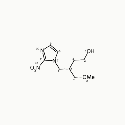 COCC(CCO)Cn1ccnc1[N+](=O)[O-]